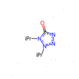 CC(C)n1nnc(=O)n1C(C)C